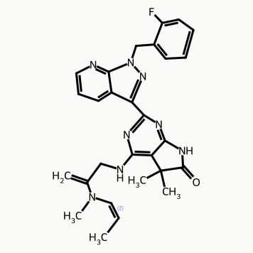 C=C(CNc1nc(-c2nn(Cc3ccccc3F)c3ncccc23)nc2c1C(C)(C)C(=O)N2)N(C)/C=C\C